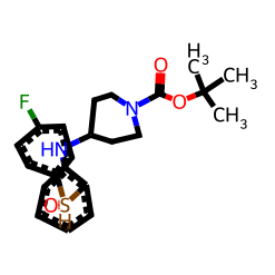 CC(C)(C)OC(=O)N1CCC(Nc2ccc3cc2[SH]3(=O)c2ccc(F)cc2)CC1